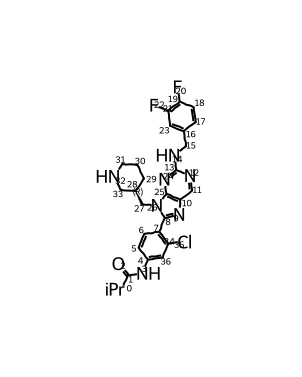 CC(C)C(=O)Nc1ccc(-c2nc3cnc(NCc4ccc(F)c(F)c4)nc3n2C[C@@H]2CCCNC2)c(Cl)c1